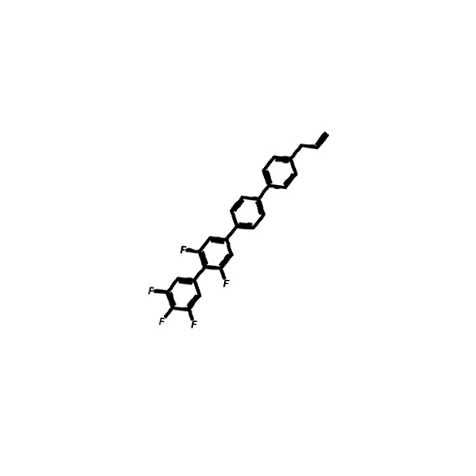 C=CCc1ccc(-c2ccc(-c3cc(F)c(-c4cc(F)c(F)c(F)c4)c(F)c3)cc2)cc1